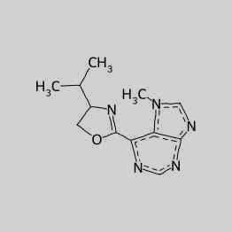 CC(C)C1COC(c2ncnc3ncn(C)c23)=N1